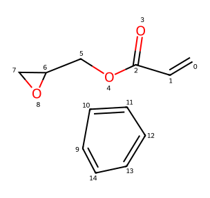 C=CC(=O)OCC1CO1.c1ccccc1